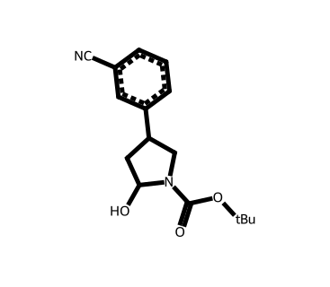 CC(C)(C)OC(=O)N1CC(c2cccc(C#N)c2)CC1O